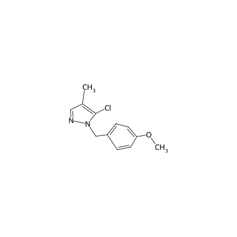 COc1ccc(Cn2ncc(C)c2Cl)cc1